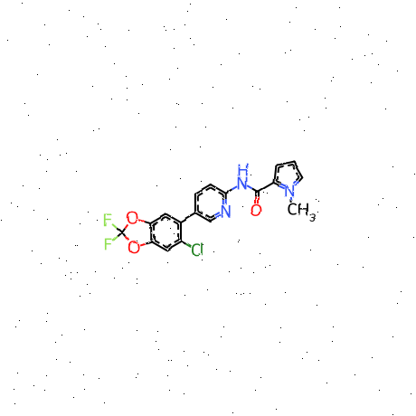 Cn1cccc1C(=O)Nc1ccc(-c2cc3c(cc2Cl)OC(F)(F)O3)cn1